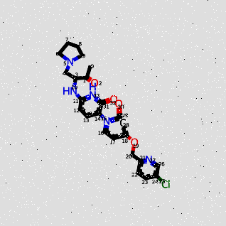 CC(=O)C(CN1CCCC1)Nc1ccc(-n2ccc(OCc3ccc(Cl)cn3)cc2=O)c(=O)[nH]1